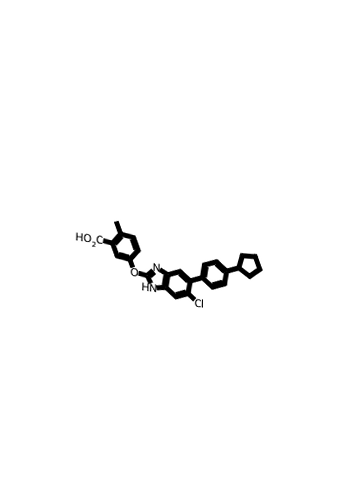 Cc1ccc(Oc2nc3cc(-c4ccc(C5CCCC5)cc4)c(Cl)cc3[nH]2)cc1C(=O)O